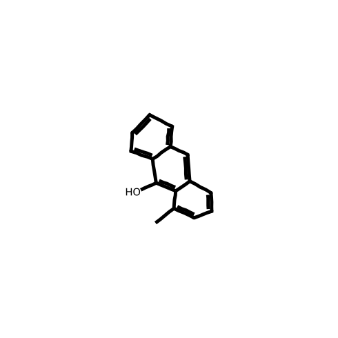 Cc1cccc2cc3ccccc3c(O)c12